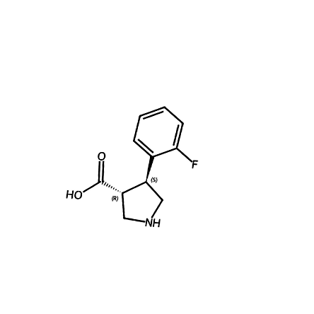 O=C(O)[C@H]1CNC[C@@H]1c1ccccc1F